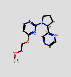 COCCOc1ccnc(N2CCCC2c2cnccn2)n1